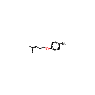 CCc1ccc(OCCC=C(C)C)cc1